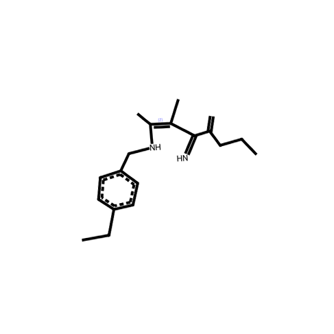 C=C(CCC)C(=N)/C(C)=C(/C)NCc1ccc(CC)cc1